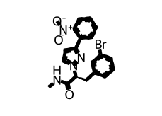 CNC(=O)[C@H](Cc1cccc(Br)c1)n1ccc(-c2ccccc2[N+](=O)[O-])n1